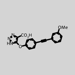 COc1cccc(C#Cc2ccc(Oc3[nH]nnc3C(=O)O)cc2)c1